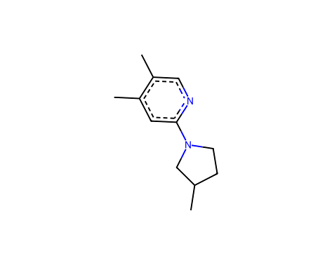 Cc1cnc(N2CCC(C)C2)cc1C